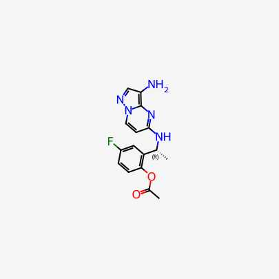 CC(=O)Oc1ccc(F)cc1[C@@H](C)Nc1ccn2ncc(N)c2n1